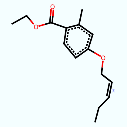 CC/C=C\COc1ccc(C(=O)OCC)c(C)c1